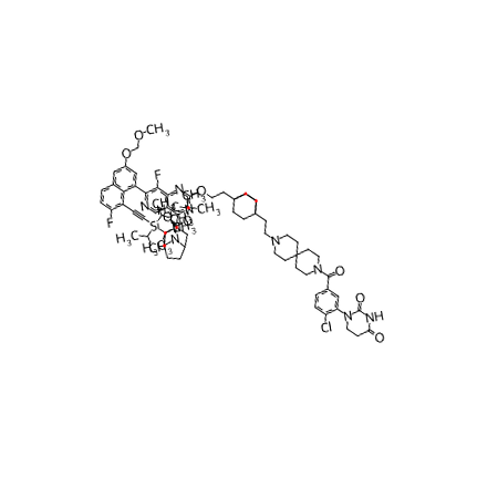 COCOc1cc(-c2ncc3c(N4CC5CCC(C4)N5C(=O)OC(C)(C)C)nc(OCCC45CCC(CCN6CCC7(CC6)CCN(C(=O)c6ccc(Cl)c(N8CCC(=O)NC8=O)c6)CC7)(CC4)CC5)nc3c2F)c2c(C#C[Si](C(C)C)(C(C)C)C(C)C)c(F)ccc2c1